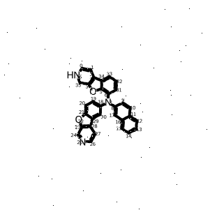 C1=Cc2c(oc3c(N(c4ccc5ccccc5c4)c4ccc5oc6cnccc6c5c4)cccc23)CN1